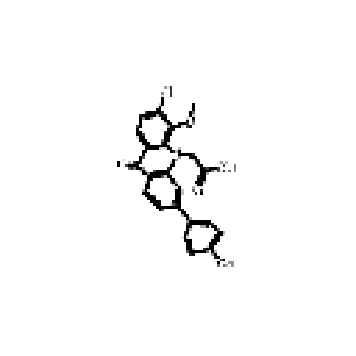 COc1c(Cl)ccc2c(=O)c3ccc(-c4ccc(O)cc4)cc3n(CC(=O)O)c12